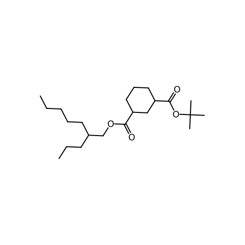 CCCCCC(CCC)COC(=O)C1CCCC(C(=O)OC(C)(C)C)C1